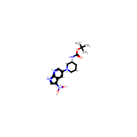 CC(C)(C)OC(=O)N[C@@H]1CCCN(c2cnc3[nH]cc([N+](=O)[O-])c3c2)C1